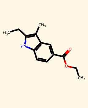 CCOC(=O)c1ccc2[nH]c(CC)c(C)c2c1